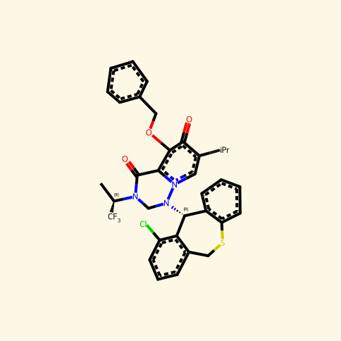 CC(C)c1cn2c(c(OCc3ccccc3)c1=O)C(=O)N([C@H](C)C(F)(F)F)CN2[C@@H]1c2ccccc2SCc2cccc(Cl)c21